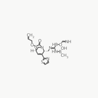 C=CCON1C(=O)N2C[C@H]1C=C(c1nccs1)[C@H]2C/N=C(/BOC=N)NB(C)O